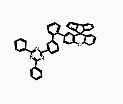 C1=CCC2Oc3ccc(-c4ccccc4-c4cccc(-c5nc(-c6ccccc6)nc(-c6ccccc6)n5)c4)cc3C3(C2=C1)c1ccccc1-c1ccccc13